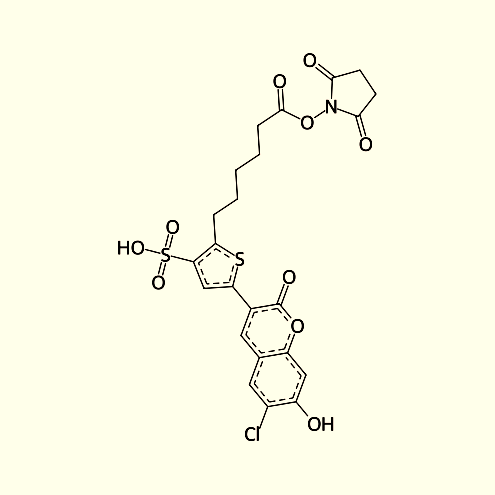 O=C(CCCCCc1sc(-c2cc3cc(Cl)c(O)cc3oc2=O)cc1S(=O)(=O)O)ON1C(=O)CCC1=O